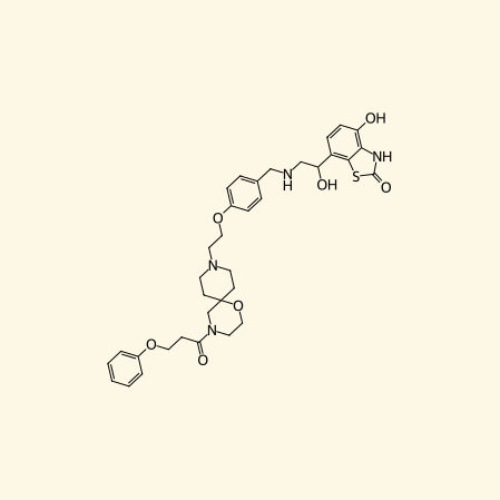 O=C(CCOc1ccccc1)N1CCOC2(CCN(CCOc3ccc(CNCC(O)c4ccc(O)c5[nH]c(=O)sc45)cc3)CC2)C1